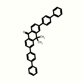 CC1(C)c2cc(-c3ccc(-c4ccccc4)cc3)ccc2C(=O)c2ccc(-c3ccc(-c4ccccc4)cc3)cc21